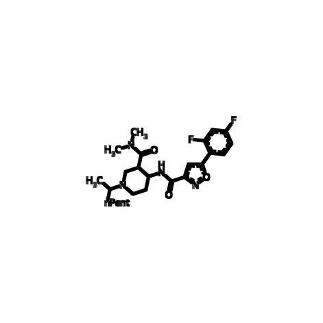 CCCCCC(C)N1CCC(NC(=O)c2cc(-c3ccc(F)cc3F)on2)C(C(=O)N(C)C)C1